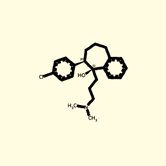 CN(C)CCC[C@@]1(O)c2ccccc2CCC[C@@H]1c1ccc(Cl)cc1